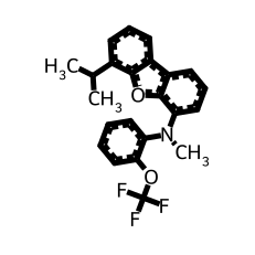 CC(C)c1cccc2c1oc1c(N(C)c3ccccc3OC(F)(F)F)cccc12